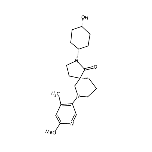 COc1cc(C)c(N2CCC[C@@]3(CCN([C@H]4CC[C@@H](O)CC4)C3=O)C2)cn1